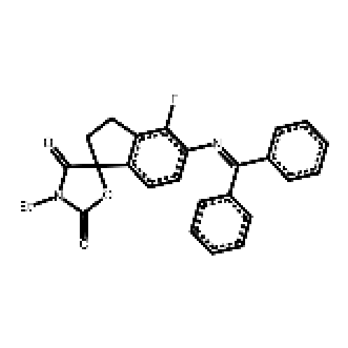 CCN1C(=O)OC2(CCc3c2ccc(N=C(c2ccccc2)c2ccccc2)c3F)C1=O